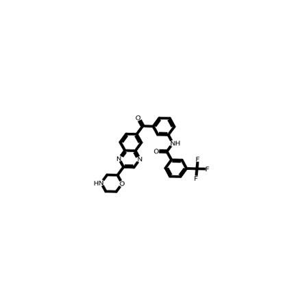 O=C(Nc1cccc(C(=O)c2ccc3nc(C4CNCCO4)cnc3c2)c1)c1cccc(C(F)(F)F)c1